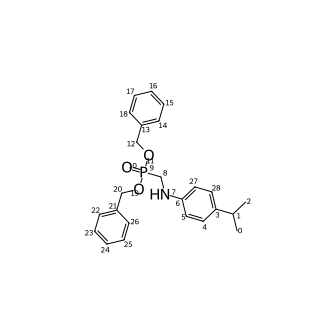 CC(C)c1ccc(NCP(=O)(OCc2ccccc2)OCc2ccccc2)cc1